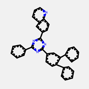 c1ccc(-c2nc(-c3ccc(-c4ccccc4)c(-c4ccccc4)c3)nc(-c3ccc4ncccc4c3)n2)cc1